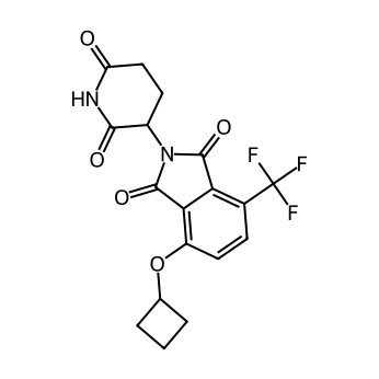 O=C1CCC(N2C(=O)c3c(OC4CCC4)ccc(C(F)(F)F)c3C2=O)C(=O)N1